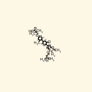 Cc1cc(OCC(C)(C)C(=O)O)ncc1-c1cnc(-c2nc(OC(C)C)n(COCC[SiH](C)C)n2)c(Cl)c1